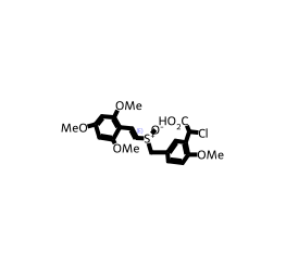 COc1cc(OC)c(/C=C/[S+]([O-])Cc2ccc(OC)c(C(Cl)C(=O)O)c2)c(OC)c1